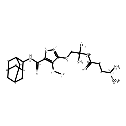 CC(C)Sc1c(OCC(C)(C)NC(=O)CC[C@H](N)C(=O)O)noc1C(=O)NC1C2CC3CC(C2)CC1C3